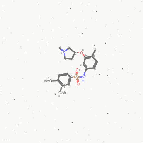 COc1ccc(S(=O)(=O)Nc2ccc(C)c(O[C@@H]3CCN(C)C3)c2)cc1OC